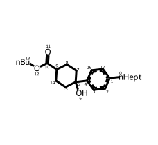 CCCCCCCc1ccc(C2(O)CCC(C(=O)OCCCC)CC2)cc1